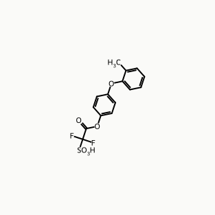 Cc1ccccc1Oc1ccc(OC(=O)C(F)(F)S(=O)(=O)O)cc1